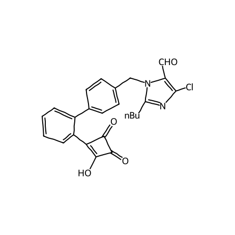 CCCCc1nc(Cl)c(C=O)n1Cc1ccc(-c2ccccc2-c2c(O)c(=O)c2=O)cc1